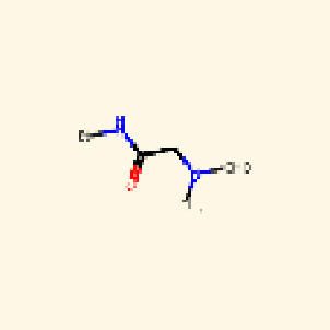 CCNC(=O)CN(C)C=O